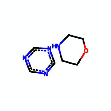 C1COCCN1.c1ncncn1